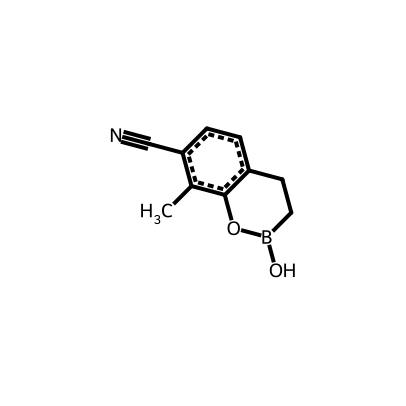 Cc1c(C#N)ccc2c1OB(O)CC2